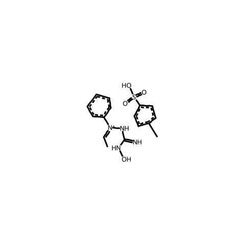 CC=[N+](NC(=N)NO)c1ccccc1.Cc1ccc(S(=O)(=O)O)cc1